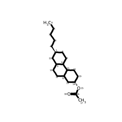 CCCCC[C@H]1CCC2C(CCC3C[C@@H](OC(C)=O)CCC32)C1